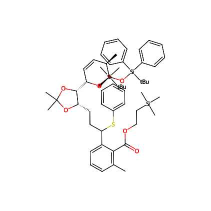 Cc1cccc(C(CC[C@@H]2OC(C)(C)O[C@@H]2C(/C=C\[C@@H](C)[C@H](C)O[Si](c2ccccc2)(c2ccccc2)C(C)(C)C)O[Si](C)(C)C(C)(C)C)Sc2ccccc2)c1C(=O)OCC[Si](C)(C)C